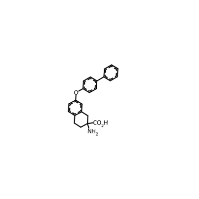 NC1(C(=O)O)CCc2ccc(Oc3ccc(-c4ccccc4)cc3)cc2C1